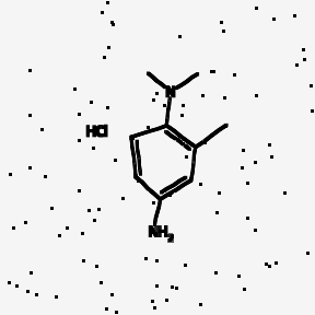 Cc1cc(N)ccc1N(C)C.Cl